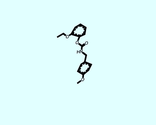 CCOc1ccccc1OC(=O)NCc1ccc(OC)cc1